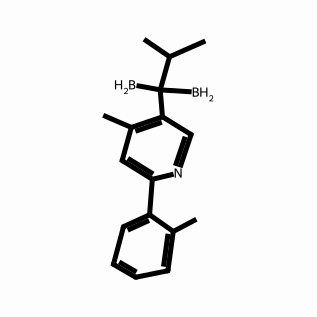 BC(B)(c1cnc(-c2ccccc2C)cc1C)C(C)C